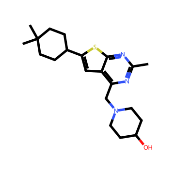 Cc1nc(CN2CCC(O)CC2)c2cc(C3CCC(C)(C)CC3)sc2n1